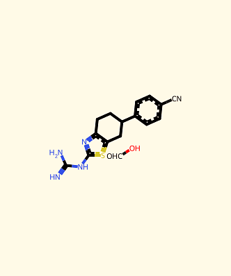 N#Cc1ccc(C2CCc3nc(NC(=N)N)sc3C2)cc1.O=CO